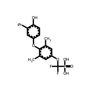 Cc1cc(OC(F)(F)P(=O)(O)O)cc(C)c1Oc1ccc(O)c(C(C)C)c1